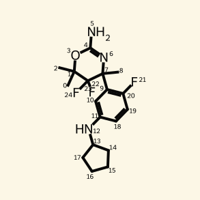 CC1(C)OC(N)=NC(C)(c2cc(NC3CCCC3)ccc2F)C1(F)F